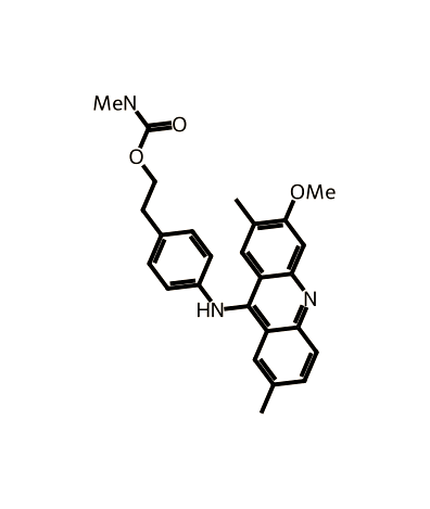 CNC(=O)OCCc1ccc(Nc2c3cc(C)ccc3nc3cc(OC)c(C)cc23)cc1